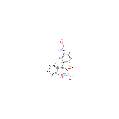 O=CNc1ccc2oc([N+](=O)[O-])c(-c3ccccc3)c2c1